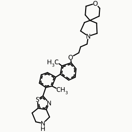 Cc1c(OCCCN2CCC3(CCOCC3)CC2)cccc1-c1cccc(-c2nc3c(s2)CCNC3)c1C